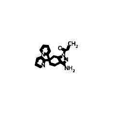 C=CC(=O)n1nc(N)c2c1CC(c1ccccn1)(c1ccccn1)C=C2